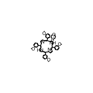 COc1cccc(-c2c3nc(c(-c4cccc(OC)c4)c4cc(N5CCOCC5)c([nH]4)c(-c4cccc(OC)c4)c4nc(c(-c5cccc(OC)c5)c5ccc2[nH]5)C=C4)C=C3)c1